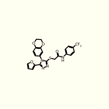 O=C(CSc1nnc(-c2ccco2)n1-c1ccc2c(c1)OCCO2)Nc1ccc(C(F)(F)F)cc1